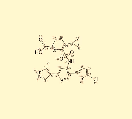 Cc1oncc1-c1ccc(-c2ccc(Cl)s2)c(NS(=O)(=O)c2cc(C(=O)O)ccc2C2CC2)c1